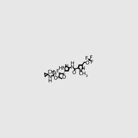 Cn1nc(COC(F)(F)F)cc1C(=O)Nc1cc([C@@H]2OC[C@H](OC(=O)NC3(C)CC3)[C@@H]2F)[nH]n1